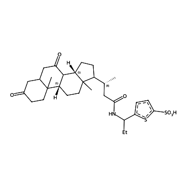 CCC(NC(=O)C[C@@H](C)C1CC[C@H]2C3C(=O)CC4CC(=O)CCC4(C)[C@H]3CCC12C)c1ccc(S(=O)(=O)O)s1